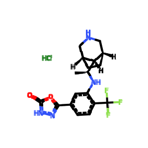 C[C@H](Nc1cc(-c2n[nH]c(=O)o2)ccc1C(F)(F)F)[C@@H]1[C@@H]2CC[C@H]1CNC2.Cl